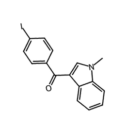 Cn1cc(C(=O)c2ccc(I)cc2)c2ccccc21